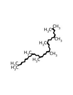 CC(C)=CCC=C(C)CCCC(C)=CCCC(C)=CC=CC=C(C)CCC=C(C)CCC=CCC=CC(C)C